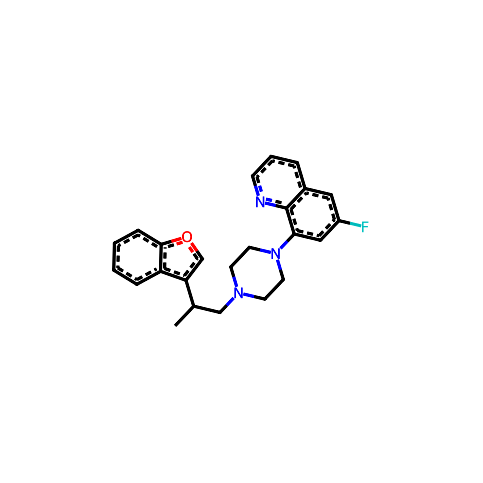 CC(CN1CCN(c2cc(F)cc3cccnc23)CC1)c1coc2ccccc12